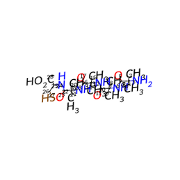 CC(C)(N)C(=O)NC(C)(C)C(=O)NC(C)(C)C(=O)NC(C)(C)C(=O)N[C@@H](CS)C(=O)O